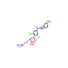 NCCCC[C@H](CC(=O)c1c(Cl)cc(C(=O)NCc2cccc(O)c2)cc1Cl)C(=O)O